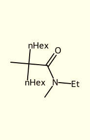 CCCCCCC(C)(CCCCCC)C(=O)N(C)CC